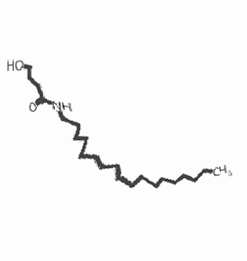 CCCCCCCC/C=C\CCCCCCCCNC(=O)CCCO